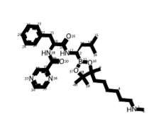 CNCCCCCCC1(C)OB([C@H](CC(C)C)NC(=O)C(Cc2ccccc2)NC(=O)c2cnccn2)OC1(C)C